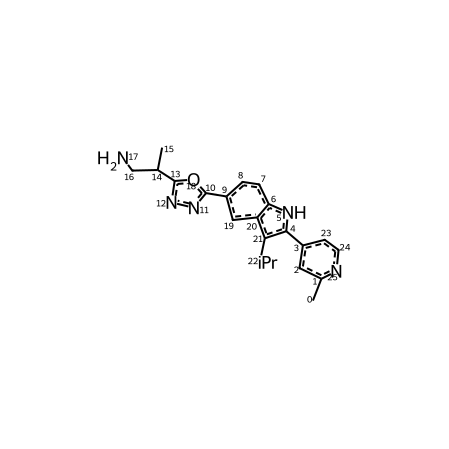 Cc1cc(-c2[nH]c3ccc(-c4nnc(C(C)CN)o4)cc3c2C(C)C)ccn1